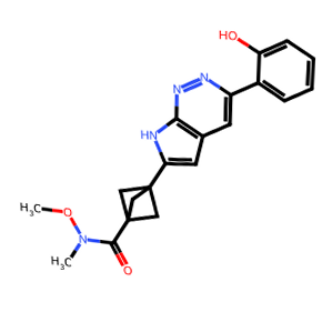 CON(C)C(=O)C12CC(c3cc4cc(-c5ccccc5O)nnc4[nH]3)(C1)C2